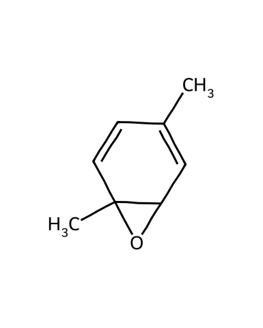 CC1=CC2OC2(C)C=C1